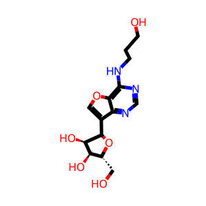 OCCCNc1ncnc2c(C3O[C@H](CO)[C@@H](O)[C@H]3O)coc12